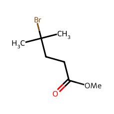 COC(=O)CCC(C)(C)Br